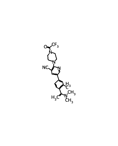 C=C(c1ccc(-c2cnc(N3CCN(C(=O)C(F)(F)F)CC3)c(C#N)c2)cc1C)N(C)C